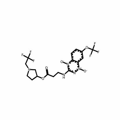 O=C(CCNc1n[n+]([O-])c2cc(OC(F)(F)F)ccc2[n+]1[O-])OC1CCN(CC(F)(F)F)C1